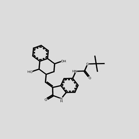 CC(C)(C)OC(=O)Nc1ccc2c(c1)C(=CC1CC(O)c3ccccc3C1O)C(=O)N2